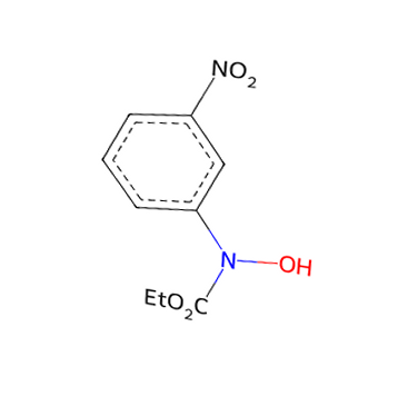 CCOC(=O)N(O)c1cccc([N+](=O)[O-])c1